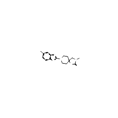 CN1CC2(CCN(c3nc4cc(Cl)ccc4[nH]3)CC2)OC1=O